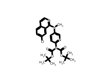 CN(c1ccc(N(C(=O)OC(C)(C)C)C(=O)OC(C)(C)C)nc1)c1nccc2ccc(Cl)cc12